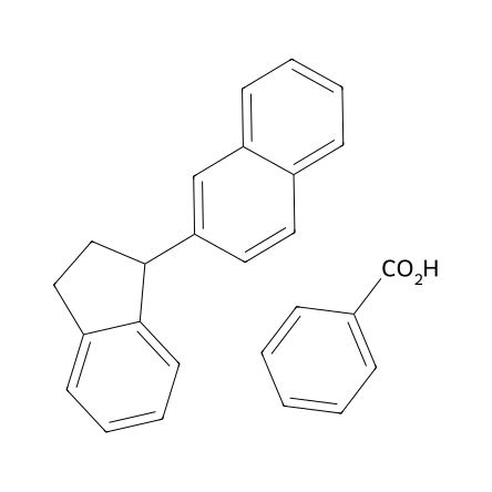 O=C(O)c1ccccc1.c1ccc2c(c1)CCC2c1ccc2ccccc2c1